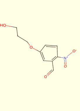 O=Cc1cc(OCCCO)ccc1[N+](=O)[O-]